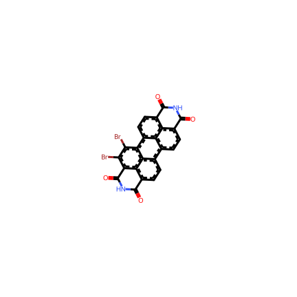 O=C1NC(=O)c2ccc3c4c(Br)c(Br)c5c6c(ccc(c7ccc1c2c73)c64)C(=O)NC5=O